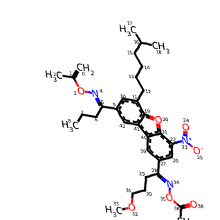 C=C(C)O/N=C(\CCC)c1cc(CCCCC(C)C)c2oc3c([N+](=O)[O-])cc(/C(CCCOC)=N/OC(C)=O)cc3c2c1